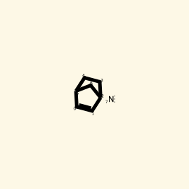 C1=CC2CCC1C2.[N]